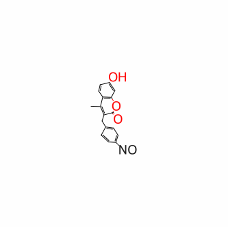 Cc1c(Cc2ccc(N=O)cc2)c(=O)oc2cc(O)ccc12